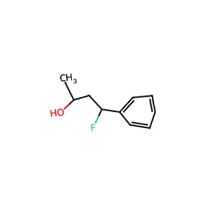 CC(O)CC(F)c1ccccc1